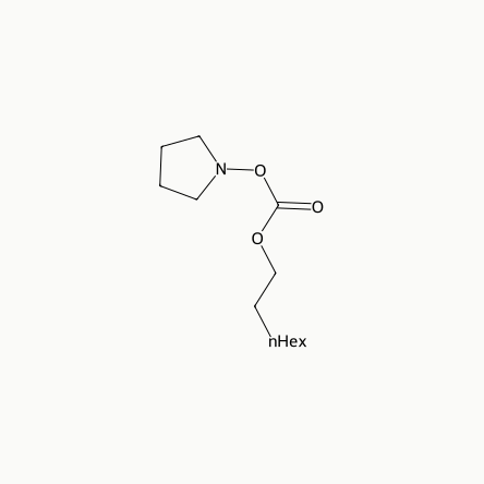 CCCCCCCCOC(=O)ON1CCCC1